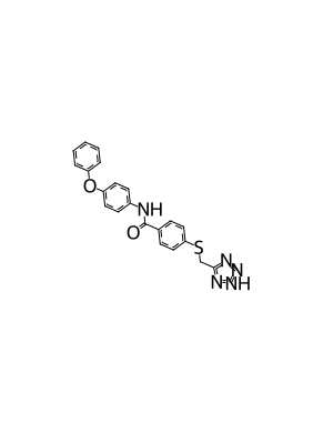 O=C(Nc1ccc(Oc2ccccc2)cc1)c1ccc(SCc2nn[nH]n2)cc1